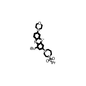 CCC(C)c1cc(N2CCCN(S(=O)(=O)C(C)C)CC2)cc2[s+]c3cc(N4CCOCC4)ccc3nc12